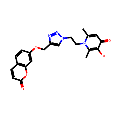 Cc1cc(=O)c(O)c(C)n1CCn1cc(COc2ccc3ccc(=O)oc3c2)nn1